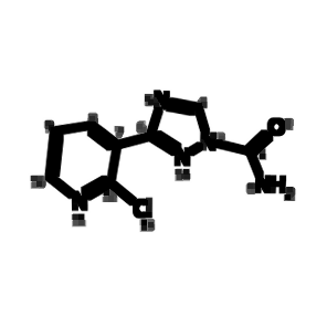 NC(=O)n1cnc(-c2cccnc2Cl)n1